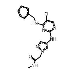 CNC(=O)Cn1cc(Nc2ncc(Cl)c(NCc3ccccc3)n2)cn1